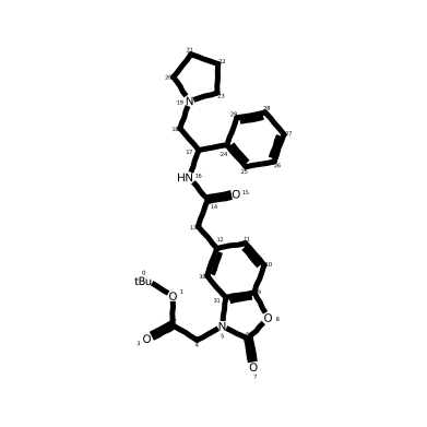 CC(C)(C)OC(=O)Cn1c(=O)oc2ccc(CC(=O)NC(CN3CCCC3)c3ccccc3)cc21